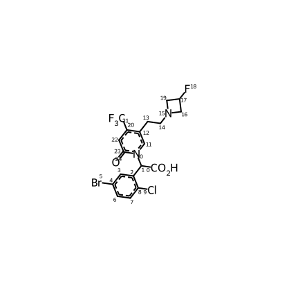 O=C(O)C(c1cc(Br)ccc1Cl)n1cc(CCN2CC(F)C2)c(C(F)(F)F)cc1=O